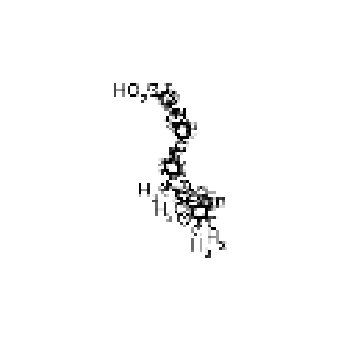 CC1=C(C)C(=O)C(C(C)(C)CC(=O)N(C)c2ccc(COc3ccc4nc(C5=N[C@@H](C(=O)O)CS5)sc4c3)cc2)=C(C)C1=O